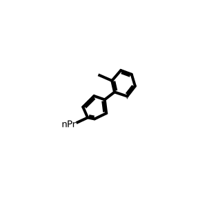 CCCc1ccc(-c2[c]cccc2C)cc1